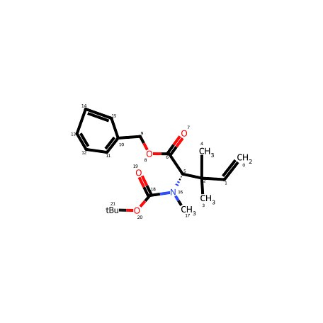 C=CC(C)(C)[C@@H](C(=O)OCc1ccccc1)N(C)C(=O)OC(C)(C)C